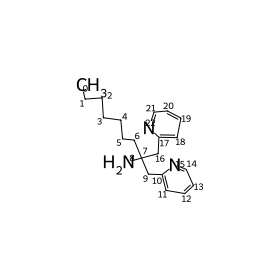 CCCCCCCC(N)(Cc1ccccn1)Cc1ccccn1